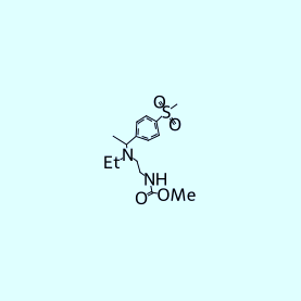 CCN(CCNC(=O)OC)C(C)c1ccc(S(C)(=O)=O)cc1